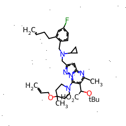 C=CCCc1cc(F)ccc1CN(Cc1cc2nc(C)c(C(OC(C)(C)C)C(=O)O)c(N3CCC(C)(OCC=C)CC3)n2n1)C1CC1